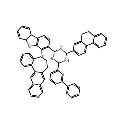 C1=CC2Oc3c(ccc(C4NC(c5cccc(-c6ccccc6)c5)NC(c5ccc6c(c5)CCc5ccccc5-6)N4)c3[C@@H]3CCc4cc5ccccc5cc4-c4ccccc43)C2C=C1